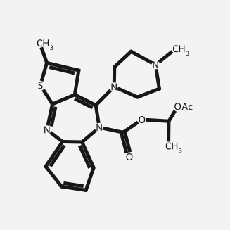 CC(=O)OC(C)OC(=O)N1C(N2CCN(C)CC2)=c2cc(C)sc2=Nc2ccccc21